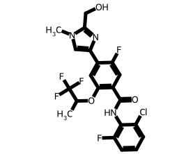 CC(Oc1cc(-c2cn(C)c(CO)n2)c(F)cc1C(=O)Nc1c(F)cccc1Cl)C(F)(F)F